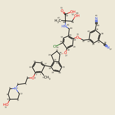 Cc1c(OCCCN2CCC(O)CC2)cccc1-c1cccc2c1CC[C@@H]2Oc1cc(OCc2cc(C#N)cc(C#N)c2)c(CNC(C)(CO)C(=O)O)cc1Cl